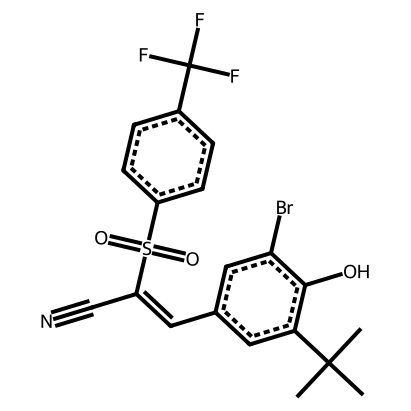 CC(C)(C)c1cc(C=C(C#N)S(=O)(=O)c2ccc(C(F)(F)F)cc2)cc(Br)c1O